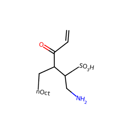 C=CC(=O)C(CCCCCCCCC)C(CN)S(=O)(=O)O